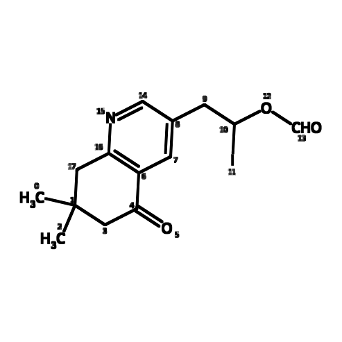 CC1(C)CC(=O)c2cc(CC(I)OC=O)cnc2C1